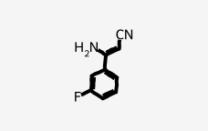 N#CC=C(N)c1cccc(F)c1